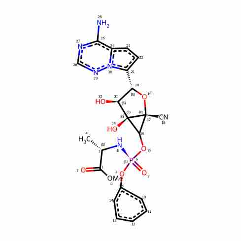 COC(=O)[C@H](C)N[P@@](=O)(Oc1ccccc1)OC1[C@@]2(C#N)O[C@@H](c3ccc4c(N)ncnn34)[C@H](O)[C@@]12O